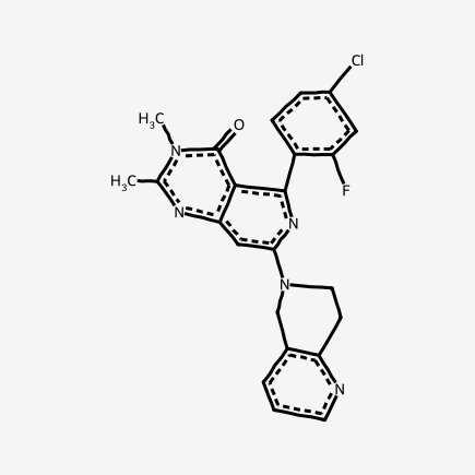 Cc1nc2cc(N3CCc4ncccc4C3)nc(-c3ccc(Cl)cc3F)c2c(=O)n1C